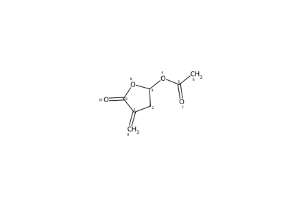 C=C1CC(OC(C)=O)OC1=O